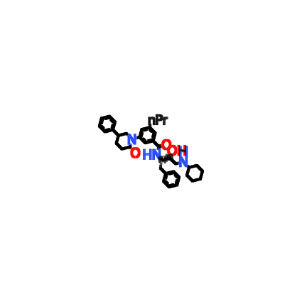 CCCc1cc(C(=O)N[C@@H](Cc2ccccc2)[C@@H](O)CNC2CCCCC2)cc(N2CC(c3ccccc3)CCC2=O)c1